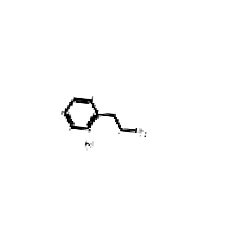 NCCc1ccccc1.[Pd]